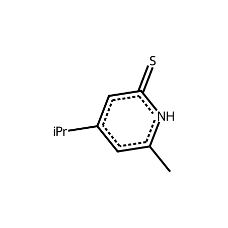 Cc1cc(C(C)C)cc(=S)[nH]1